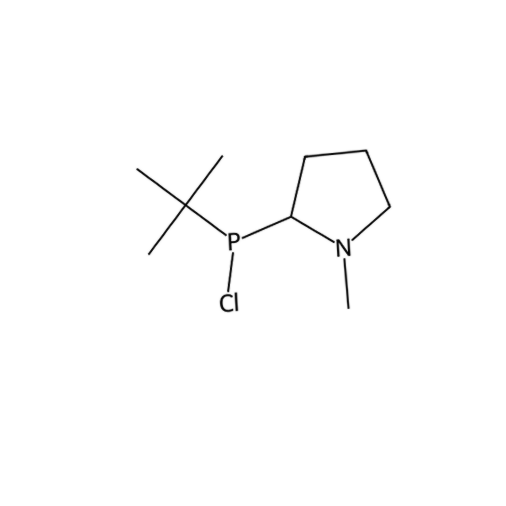 CN1CCCC1P(Cl)C(C)(C)C